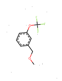 [CH2]OCc1cccc(OC(F)(F)F)c1